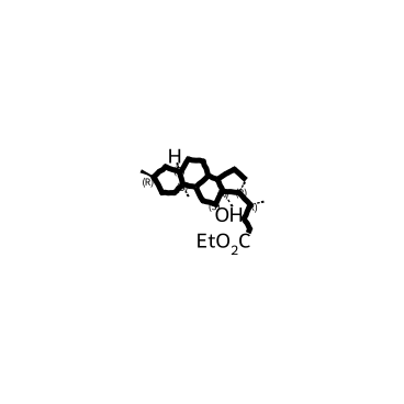 CCOC(=O)CC[C@@H](C)[C@H]1CCC2C3CC[C@@H]4C[C@H](C)CC[C@]4(C)C3C[C@H](O)[C@@]21C